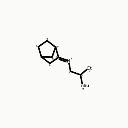 CCCCC(CC)CN=C1CC2CCC1C2